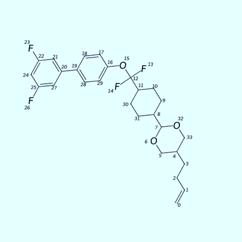 C=CCCC1COC(C2CCC(C(F)(F)Oc3ccc(-c4cc(F)cc(F)c4)cc3)CC2)OC1